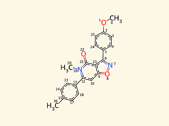 COc1ccc(-c2noc3cc(-c4ccc(C)cc4)n(C)c(=O)c23)cc1